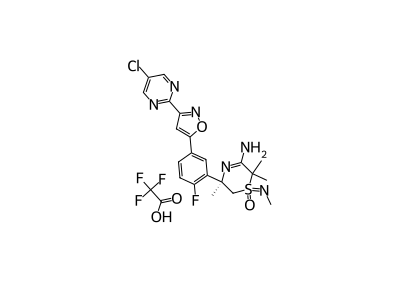 CN=S1(=O)C[C@@](C)(c2cc(-c3cc(-c4ncc(Cl)cn4)no3)ccc2F)N=C(N)C1(C)C.O=C(O)C(F)(F)F